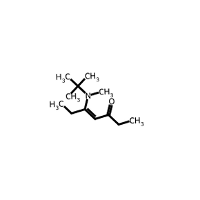 CCC(=O)C=C(CC)N(C)C(C)(C)C